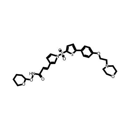 O=C(/C=C/c1ccn(S(=O)(=O)c2ccc(-c3ccc(OCCN4CCOCC4)cc3)s2)c1)NOC1CCCCO1